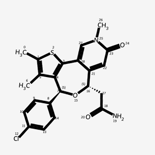 Cc1sc2c(c1C)[C@H](c1ccc(Cl)cc1)O[C@@H](CC(N)=O)c1cc(=O)n(C)cc1-2